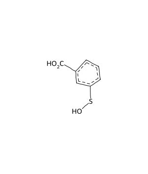 O=C(O)c1cccc(SO)c1